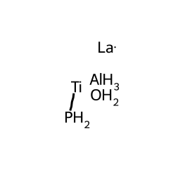 O.[AlH3].[La].[PH2][Ti]